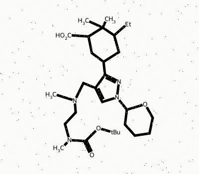 CCC1CC(c2nn(C3CCCCO3)cc2CN(C)CCN(C)C(=O)OC(C)(C)C)CC(C(=O)O)C1(C)C